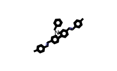 Cc1ccc(/C=C/c2ccc3c4ccc(/C=C/c5ccc(C)cc5)cc4n(Cc4ccccc4)c3c2)cc1